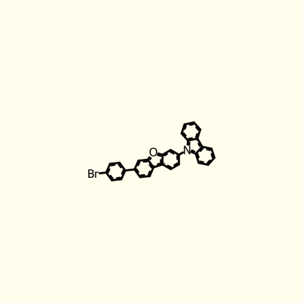 Brc1ccc(-c2ccc3c(c2)oc2cc(-n4c5ccccc5c5ccccc54)ccc23)cc1